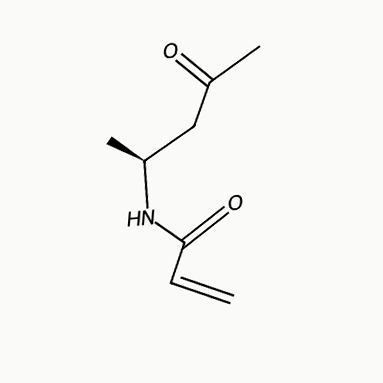 C=CC(=O)N[C@@H](C)CC(C)=O